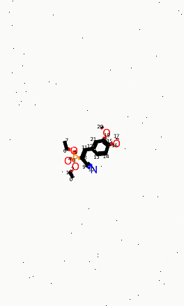 CCOP(=O)(OCC)C(C#N)=Cc1ccc(OC)c(OC)c1